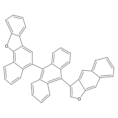 c1ccc2cc3c(-c4c5ccccc5c(-c5cc6c7ccccc7oc6c6ccccc56)c5ccccc45)coc3cc2c1